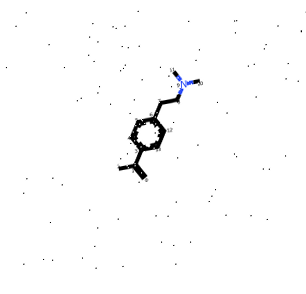 C=C(C)c1ccc(CCN(C)C)cc1